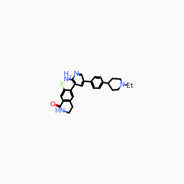 CCN1CCC(c2ccc(-c3cnc(N)c(-c4cc5c(cc4F)C(=O)NCC5)c3)cc2)CC1